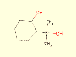 C[Si](C)(O)C1CCCCC1O